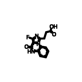 O=C(O)CCc1nc(F)c2c(=O)[nH]c3ccccc3n12